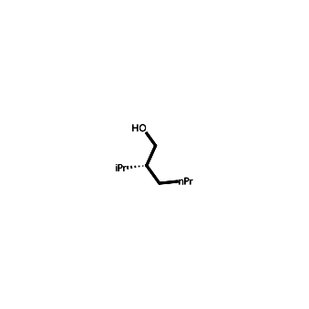 CCCC[C@@H](CO)C(C)C